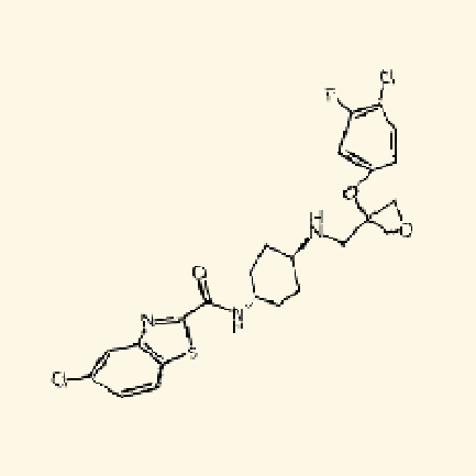 O=C(N[C@H]1CC[C@H](NCC2(Oc3ccc(Cl)c(F)c3)COC2)CC1)c1nc2cc(Cl)ccc2s1